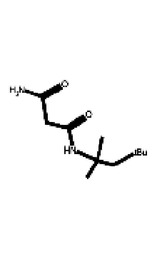 CC(C)(C)CC(C)(C)NC(=O)CC(N)=O